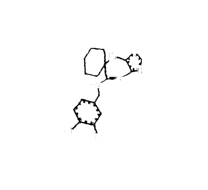 Clc1ccc(CNC2=Nc3ncsc3NC23CCCCC3)cc1Cl